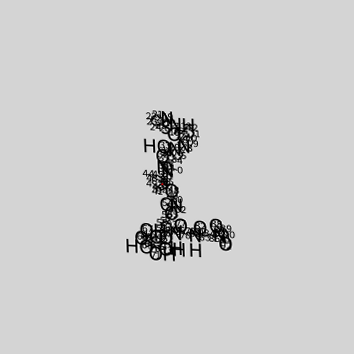 Cc1c(-c2ccc(N3CCc4cccc(C(=O)Nc5nc6ccccc6s5)c4C3)nc2C(=O)O)cnn1CC12CC3(C)CC(C)(C1)CC(OCCN(C)C(=O)OCc1ccc(O[C@@H]4O[C@H](C(=O)O)[C@H](O)[C@H](O)[C@@H]4O)c(NC(=O)CCNC(=O)CCCN4C(=O)C=CC4=O)c1)(C3)C2